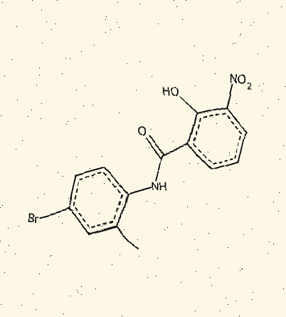 Cc1cc(Br)ccc1NC(=O)c1cccc([N+](=O)[O-])c1O